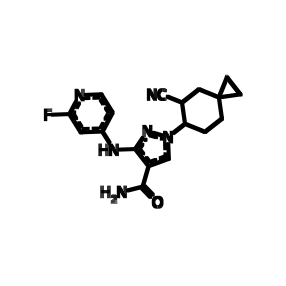 N#CC1CC2(CCC1n1cc(C(N)=O)c(Nc3ccnc(F)c3)n1)CC2